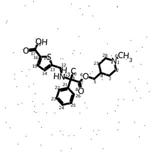 CN1CCC(COC(=O)C(C)(NCc2ccc(C(=O)O)s2)c2ccccc2)CC1